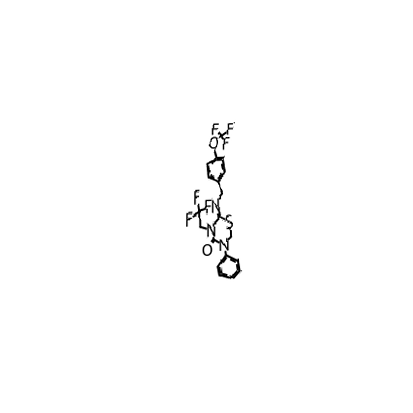 O=C1N(CC(F)(F)F)C(=NCc2ccc(OC(F)(F)F)cc2)SCN1c1ccccc1